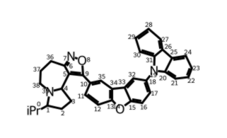 CC(C)C1CCC2c3c(noc3-c3ccc4oc5ccc(-n6c7ccccc7c7ccccc76)cc5c4c3)CCCN21